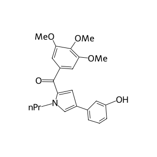 CCCn1cc(-c2cccc(O)c2)cc1C(=O)c1cc(OC)c(OC)c(OC)c1